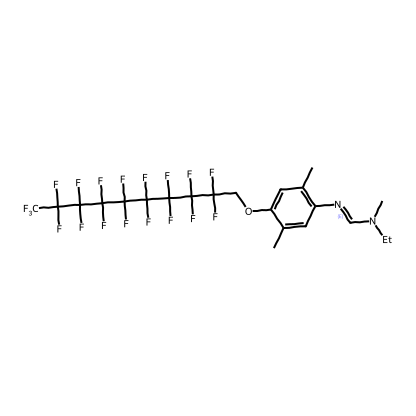 CCN(C)/C=N/c1cc(C)c(OCC(F)(F)C(F)(F)C(F)(F)C(F)(F)C(F)(F)C(F)(F)C(F)(F)C(F)(F)C(F)(F)F)cc1C